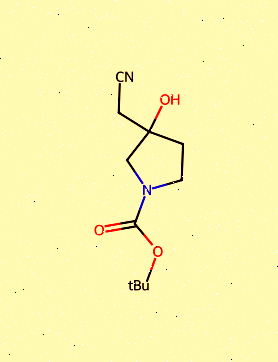 CC(C)(C)OC(=O)N1CCC(O)(CC#N)C1